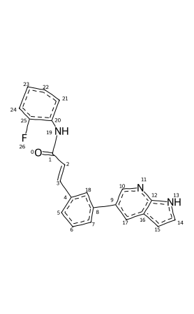 O=C(C=Cc1cccc(-c2cnc3[nH]ccc3c2)c1)Nc1ccccc1F